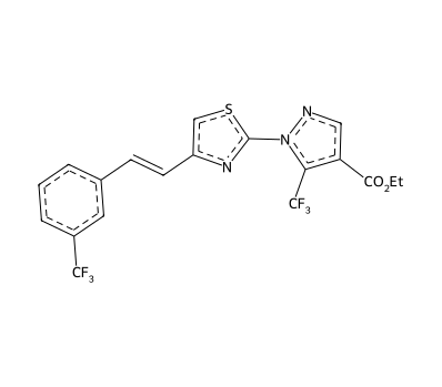 CCOC(=O)c1cnn(-c2nc(/C=C/c3cccc(C(F)(F)F)c3)cs2)c1C(F)(F)F